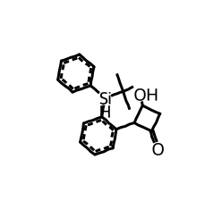 CC(C)(C)[SiH](c1ccccc1)c1ccccc1C1C(=O)CC1O